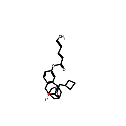 C/C=C/C=C/C(=O)Oc1ccc2c(c1)[C@]13CCCC4(C1)N(CC1CCC1)[C@H](C2)[C@]43O